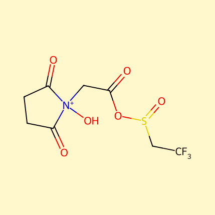 O=C(C[N+]1(O)C(=O)CCC1=O)OS(=O)CC(F)(F)F